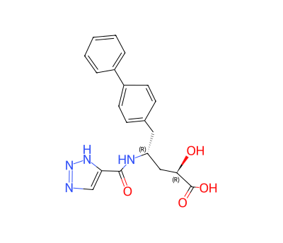 O=C(N[C@H](Cc1ccc(-c2ccccc2)cc1)C[C@@H](O)C(=O)O)c1cnn[nH]1